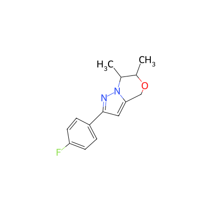 CC1OCc2cc(-c3ccc(F)cc3)nn2C1C